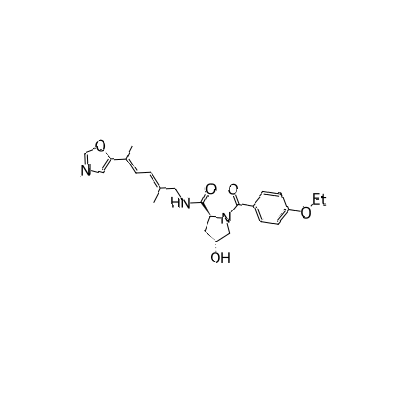 CCOc1ccc(C(=O)N2C[C@H](O)C[C@H]2C(=O)NC/C(C)=C/C=C(\C)c2cnco2)cc1